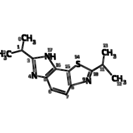 CC(C)c1nc2ccc3nc(C(C)C)sc3c2[nH]1